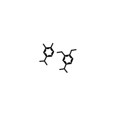 CCc1ccc(C(C)C)cc1CC.Cc1ccc(C(C)C)cc1C